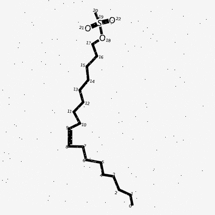 CCCCCCCC/C=C\CCCCCCCCOS(C)(=O)=O